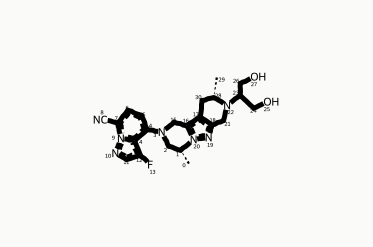 C[C@@H]1CN(c2ccc(C#N)n3ncc(F)c23)Cc2c3c(nn21)CN(C(CO)CO)[C@@H](C)C3